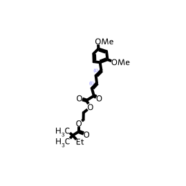 CCC(C)(C)C(=O)OCCOC(=O)C(=O)/C=C/C=C/c1ccc(OC)cc1OC